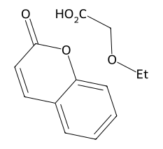 CCOCC(=O)O.O=c1ccc2ccccc2o1